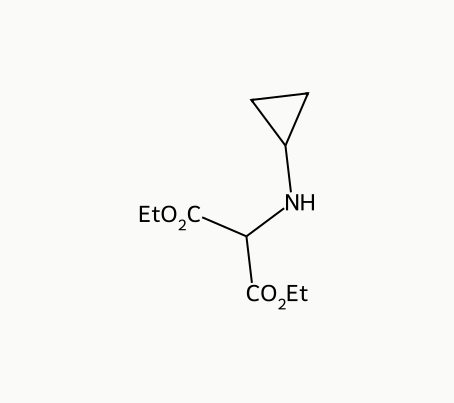 CCOC(=O)C(NC1CC1)C(=O)OCC